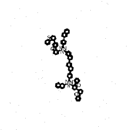 C1=CC(c2nc(-c3ccc4ccccc4c3)nc(-c3ccc(-c4cccc5c4oc4ccccc45)c4oc5ccccc5c34)n2)CC=C1c1ccc2cc(-c3ccc4ccc(-c5nc(-c6ccc(-c7ccc8ccccc8c7)cc6)nc(-c6cccc7oc8cc(-c9cccc%10sc%11ccccc%11c9%10)ccc8c67)n5)cc4c3)ccc2c1